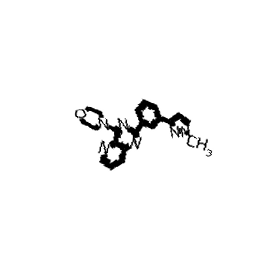 Cn1ccc(-c2cccc(-c3nc(N4CCOCC4)c4ncccc4n3)c2)n1